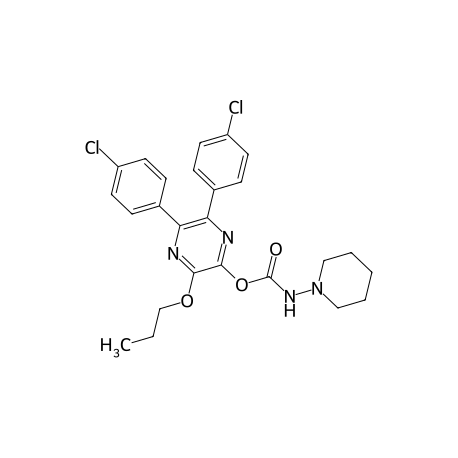 CCCOc1nc(-c2ccc(Cl)cc2)c(-c2ccc(Cl)cc2)nc1OC(=O)NN1CCCCC1